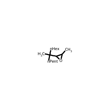 CCCCCCC(C)(CCCCC)C1OC1C